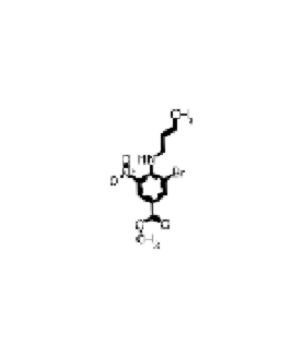 CC=CCNc1c(Br)cc(C(=O)OC)cc1[N+](=O)[O-]